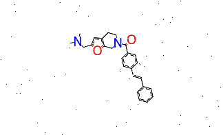 CN(C)Cc1cc2c(o1)CN(C(=O)c1ccc(/C=C/c3ccccc3)cc1)CC2